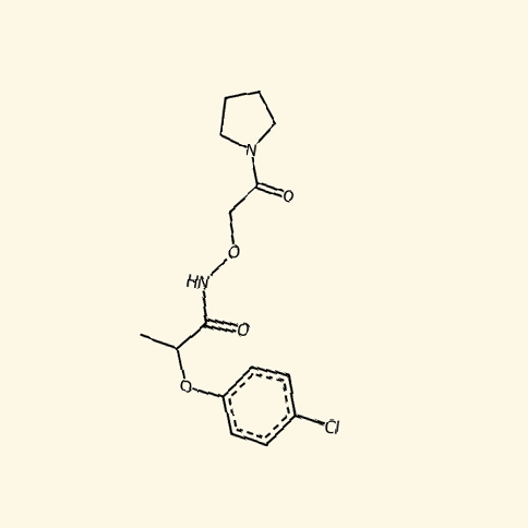 CC(Oc1ccc(Cl)cc1)C(=O)NOCC(=O)N1CCCC1